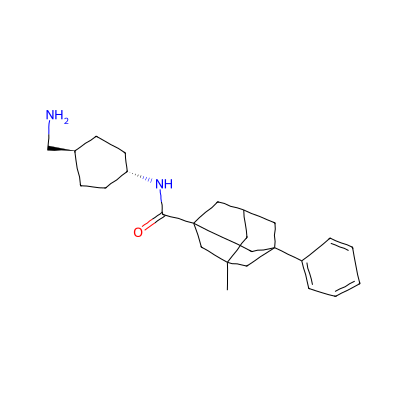 CC12CC3CC(C(=O)N[C@H]4CC[C@H](CN)CC4)(C1)CC(c1ccccc1)(C3)C2